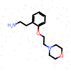 NCCc1ccccc1OCCN1CCOCC1